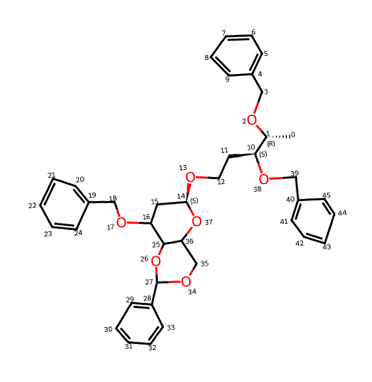 C[C@@H](OCc1ccccc1)[C@H](CCO[C@@H]1CC(OCc2ccccc2)C2OC(c3ccccc3)OCC2O1)OCc1ccccc1